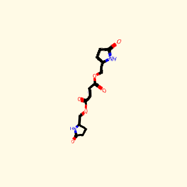 O=C1CCC(COC(=O)/C=C/C(=O)OCC2CCC(=O)N2)N1